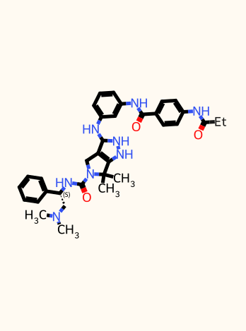 CCC(=O)Nc1ccc(C(=O)Nc2cccc(NC3NNC4=C3CN(C(=O)N[C@H](CN(C)C)c3ccccc3)C4(C)C)c2)cc1